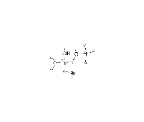 CC(C)[C@](O)(CBr)COC(C)(C)C